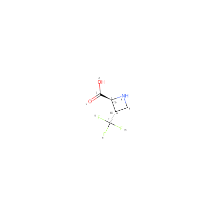 O=C(O)[C@H]1NC[C@@H]1C(F)(F)F